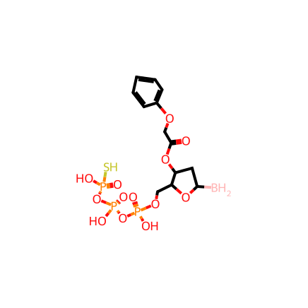 BC1CC(OC(=O)COc2ccccc2)C(COP(=O)(O)OP(=O)(O)OP(=O)(O)S)O1